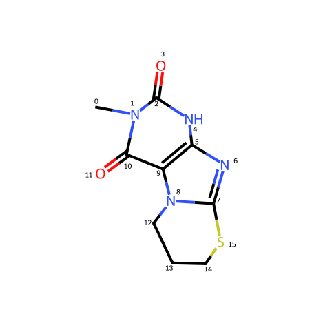 Cn1c(=O)[nH]c2nc3n(c2c1=O)CCCS3